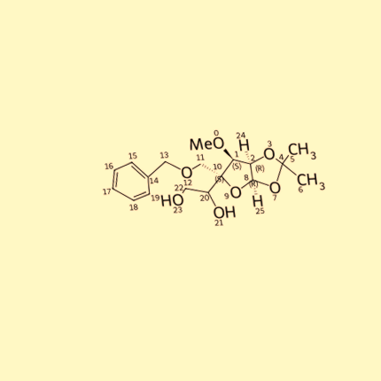 CO[C@H]1[C@H]2OC(C)(C)O[C@H]2O[C@@]1(COCc1ccccc1)C(O)CO